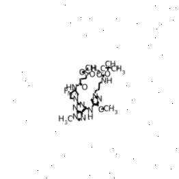 COc1nn(CCCNC(=O)OC(C)(C)C)cc1Nc1nc(N2C[C@@H](F)[C@H](NC(=O)CCS(C)(=O)=O)C2)nc2c1ncn2C